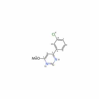 COc1cc(-c2[c]ccc(Cl)c2)ncn1